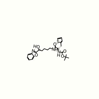 CC(C)(C)OC(=O)N[C@@H](Cc1cccs1)C(=O)NCCCC[C@H](O)c1nc2ccccc2o1